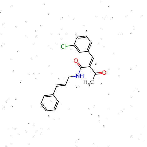 CC(=O)C(=Cc1cccc(Cl)c1)C(=O)NCC=Cc1ccccc1